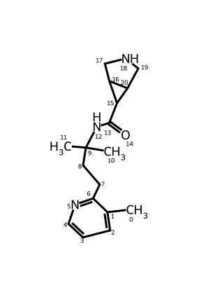 Cc1cccnc1CCC(C)(C)NC(=O)C1C2CNCC21